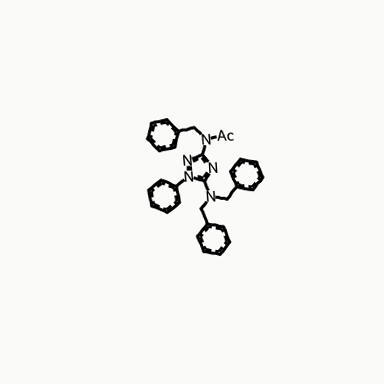 CC(=O)N(Cc1ccccc1)c1nc(N(Cc2ccccc2)Cc2ccccc2)n(-c2ccccc2)n1